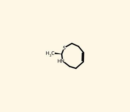 C[C@@H]1NCC/C=C\CCS1